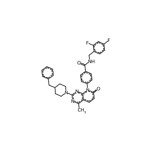 Cc1nc(N2CCC(Cc3ccccc3)CC2)nc2c1ccc(=O)n2-c1ccc(C(=O)NCc2ccc(F)cc2F)cc1